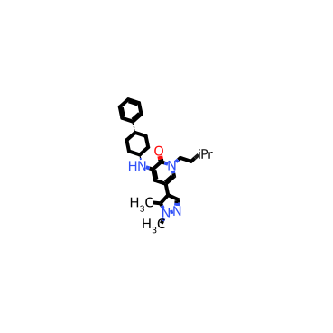 CC(C)CCn1cc(C2C=NN(C)C2C)cc(N[C@H]2CC[C@@H](c3ccccc3)CC2)c1=O